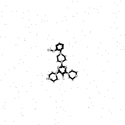 CCOc1ccccc1N1CCN(c2nc(N3CCNCC3)c(F)c(N3CCOCC3)n2)CC1